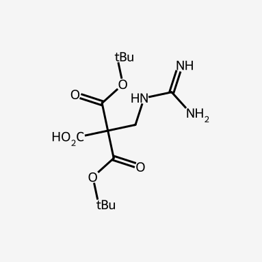 CC(C)(C)OC(=O)C(CNC(=N)N)(C(=O)O)C(=O)OC(C)(C)C